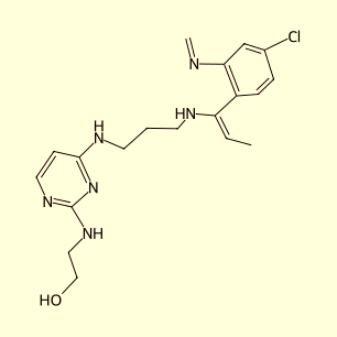 C=Nc1cc(Cl)ccc1/C(=C\C)NCCCNc1ccnc(NCCO)n1